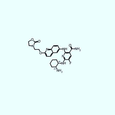 NC(=O)c1cc(F)c(N[C@@H]2CCCC[C@@H]2N)nc1Nc1ccc2nc(OCCN3CCOC3=O)ccc2c1